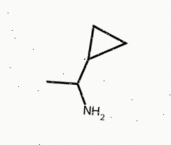 CC(N)[C]1CC1